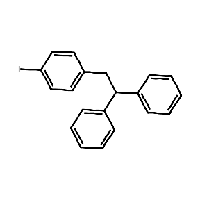 Ic1ccc(CC(c2ccccc2)c2ccccc2)cc1